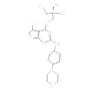 Cc1csc2nc(Nc3ccc(N4CCN(C)CC4)cc3)nc(OC[C@@](C)(N)CC(C)C)c12